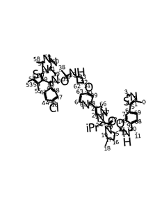 Cc1ncsc1-c1ccc([C@H](C)NC(=O)[C@@H]2C[C@@H](C)CN2C(=O)[C@@H](C(C)C)n2cc(-c3cc(O[C@H]4C[C@H](NC(=O)C[C@@H]5N=C(c6ccc(Cl)cc6)c6c(sc(C)c6C)-n6c(C)nnc65)C4)ccn3)cn2)cc1